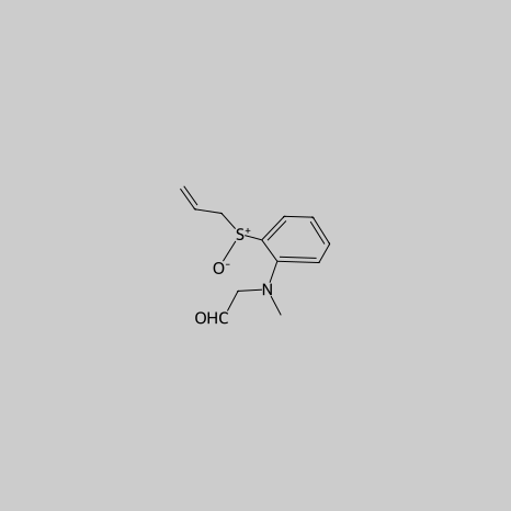 C=CC[S+]([O-])c1ccccc1N(C)CC=O